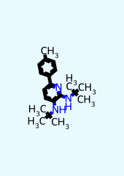 Cc1ccc(-c2ccc(NC(C)(C)C)c(NC(C)(C)C)n2)cc1